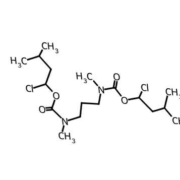 CC(C)CC(Cl)OC(=O)N(C)CCCN(C)C(=O)OC(Cl)CC(C)C